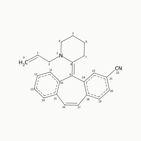 C=CCN1CCCCC1=C1c2ccccc2C=Cc2ccc(C#N)cc21